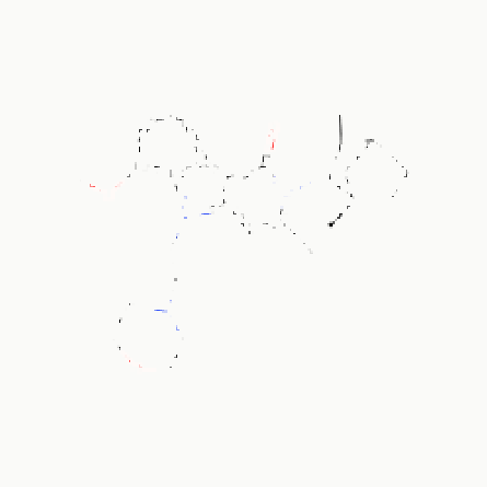 COc1cccc2c3c(=O)n([C@@H]4C(C)(C)C5CC[C@@]4(C)C5)c(C)cc3n(CCN3CCOCC3)c12